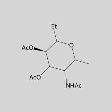 CCC1OC(C)[C@H](NC(C)=O)C(OC(C)=O)[C@H]1OC(C)=O